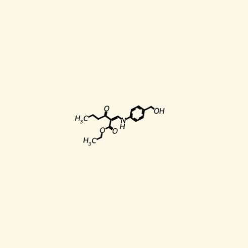 CCCC(=O)C(=CNc1ccc(CO)cc1)C(=O)OCC